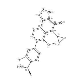 COc1c(-c2ccc3c(c2)CN[C@@H]3C)ccc2c3ocnc3c(=O)n(C3CC3)c12